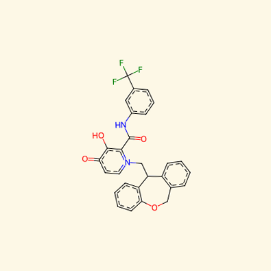 O=C(Nc1cccc(C(F)(F)F)c1)c1c(O)c(=O)ccn1CC1c2ccccc2COc2ccccc21